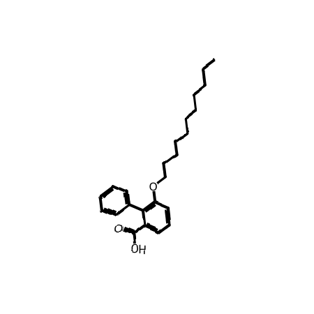 CCCCCCCCCCCOc1cccc(C(=O)O)c1-c1ccccc1